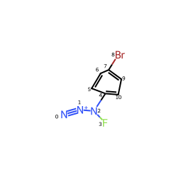 N#[N+]N(F)c1ccc(Br)cc1